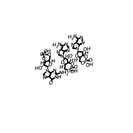 Nc1nc2c(ncn2[C@@H]2O[C@@H]3COP(=O)(O)O[C@H]3[C@H]2O)c(=O)[nH]1.Nc1ncnc2c1ncn2[C@@H]1O[C@@H]2COP(=O)(O)O[C@H]2[C@H]1O.Nc1ncnc2c1ncn2[C@@H]1O[C@@H]2COP(=O)(O)O[C@H]2[C@H]1O